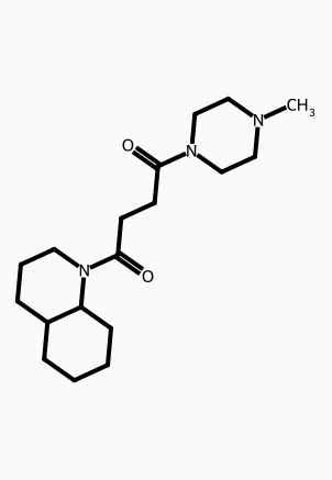 CN1CCN(C(=O)CCC(=O)N2CCCC3CCCCC32)CC1